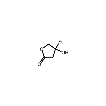 CCC1(O)COC(=O)C1